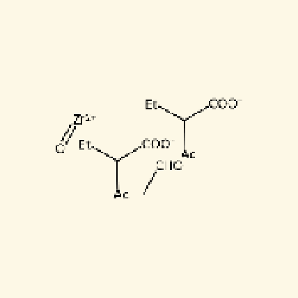 CC=O.CCC(C(C)=O)C(=O)[O-].CCC(C(C)=O)C(=O)[O-].[O]=[Zr+2]